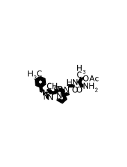 CC(=O)O[C@H](C)[C@H](NC(=O)CN1CC2(CCCN2C(=O)c2nnn(Cc3ccc(C)cc3)c2C)C1=O)C(N)=O